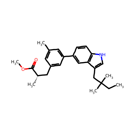 CCC(C)(C)Cc1c[nH]c2ccc(-c3cc(C)cc(C[C@H](C)C(=O)OC)c3)cc12